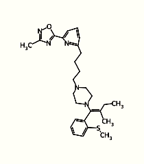 CC/C(C)=C(/c1ccccc1SC)N1CCN(CCCCc2cccc(-c3nc(C)no3)n2)CC1